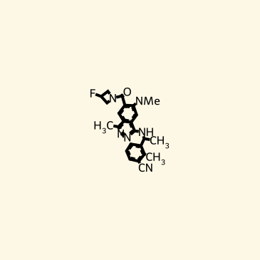 CNc1cc2c(NC(C)c3cccc(C#N)c3C)nnc(C)c2cc1C(=O)N1CC(F)C1